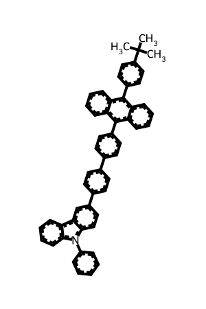 CC(C)(C)c1ccc(-c2c3ccccc3c(-c3ccc(-c4ccc(-c5ccc6c(c5)c5ccccc5n6-c5ccccc5)cc4)cc3)c3ccccc23)cc1